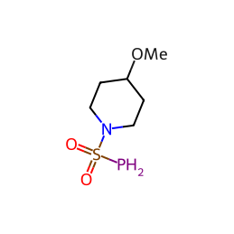 COC1CCN(S(=O)(=O)P)CC1